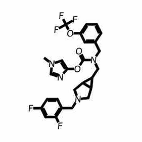 Cn1cnc(OC(=O)N(Cc2cccc(OC(F)(F)F)c2)CC2C3CN(Cc4ccc(F)cc4F)CC32)c1